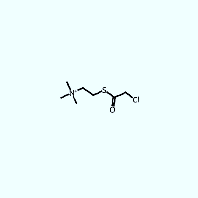 C[N+](C)(C)CCSC(=O)CCl